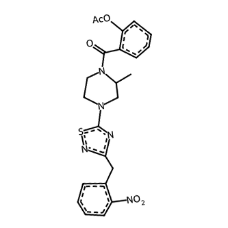 CC(=O)Oc1ccccc1C(=O)N1CCN(c2nc(Cc3ccccc3[N+](=O)[O-])ns2)CC1C